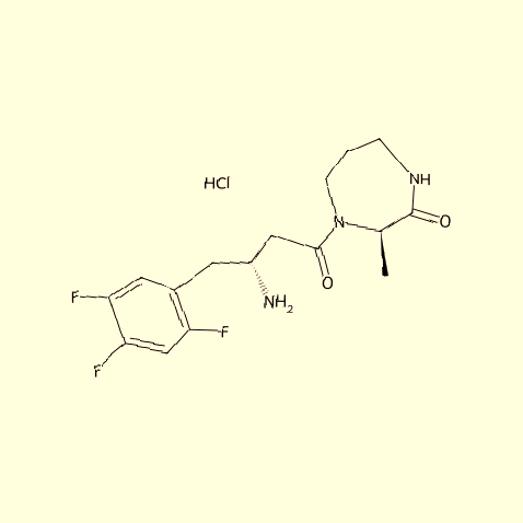 C[C@@H]1C(=O)NCCCN1C(=O)C[C@H](N)Cc1cc(F)c(F)cc1F.Cl